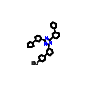 CCC(C)c1ccc(-c2cccc(-c3nc(-c4cccc(-c5ccccc5)c4)nc(-c4cccc(-c5ccccc5)c4)n3)c2)cc1